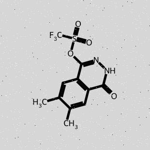 Cc1cc2c(OS(=O)(=O)C(F)(F)F)n[nH]c(=O)c2cc1C